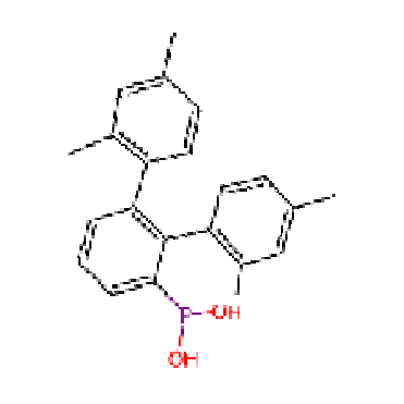 Cc1ccc(-c2cccc(P(O)O)c2-c2ccc(C)cc2C)c(C)c1